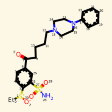 CC[S+]([O-])c1ccc(C(=O)CCCCN2CCN(c3ccccc3)CC2)cc1S(N)(=O)=O